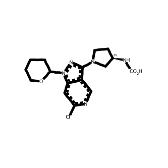 O=C(O)N[C@@H]1CCN(c2nn(C3CCCCO3)c3cc(Cl)ncc23)C1